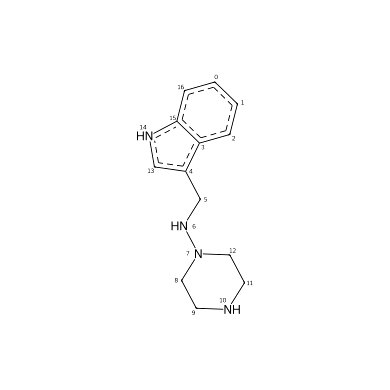 c1ccc2c(CNN3CCNCC3)c[nH]c2c1